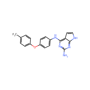 Nc1nc(Nc2ccc(Oc3ccc(C(F)(F)F)cc3)cc2)c2cc[nH]c2n1